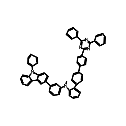 CN(c1cccc(-c2ccc3c(c2)c2ccccc2n3-c2ccccc2)c1)c1ccccc1-c1ccc(-c2ccc(-c3nc(-c4ccccc4)nc(-c4ccccc4)n3)cc2)cc1